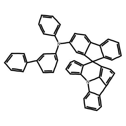 c1ccc(-c2cccc(N(c3ccccc3)c3ccc4c(c3)C3(c5ccccc5-4)c4ccccc4-n4c5ccccc5c5cccc3c54)c2)cc1